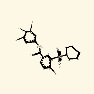 O=C(Nc1cc(F)c(F)c(F)c1)c1ccc(Cl)c(S(=O)(=O)C2CCCCC2)c1